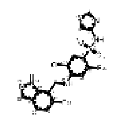 O=S(=O)(Nc1cscn1)c1cc(Cl)c(NCc2c(F)ccc3cn[nH]c23)cc1F